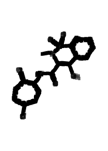 CN1C(C(=O)Nc2ccc(Cl)ccc2=O)=C(O)c2ccccc2S1(=O)=O